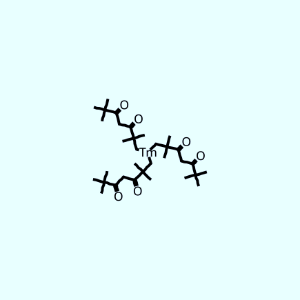 CC(C)(C)C(=O)CC(=O)C(C)(C)[CH2][Tm]([CH2]C(C)(C)C(=O)CC(=O)C(C)(C)C)[CH2]C(C)(C)C(=O)CC(=O)C(C)(C)C